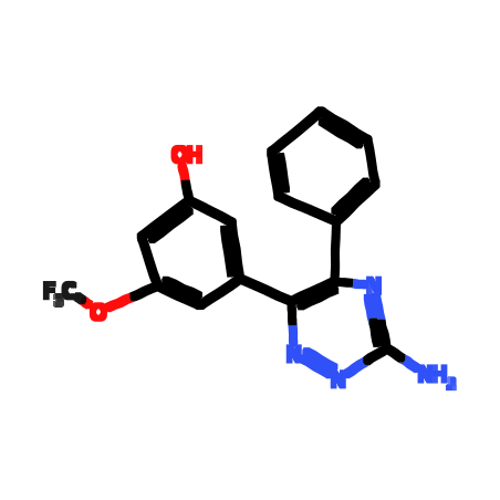 Nc1nnc(-c2cc(O)cc(OC(F)(F)F)c2)c(-c2ccccc2)n1